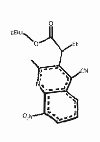 CCC(C(=O)OC(C)(C)C)c1c(C)nc2c([N+](=O)[O-])cccc2c1C#N